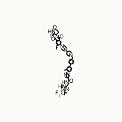 Cc1cc(-c2ccc(CN3CCC(N4CCN(c5cc6c(cc5F)C(=O)N(C5CCC(=O)NC5=O)C6=O)CC4)CC3)cc2)ccc1-n1cc(C(=O)NCc2nc(C(C)(C)C(F)(F)F)n[nH]2)cn1